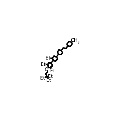 CCc1cc(C2CCC(CCC3CCC(C)CC3)CC2)ccc1-c1cc(CC)c(OCCC(CC)(CC)CC)c(CC)c1